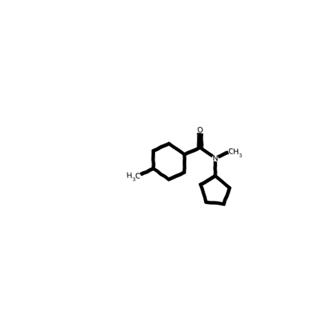 CC1CCC(C(=O)N(C)C2CCCC2)CC1